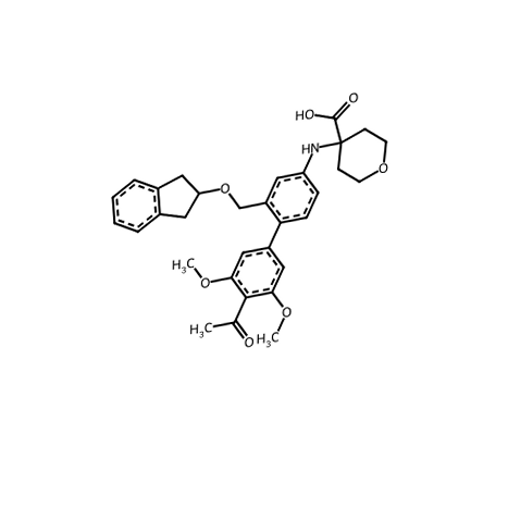 COc1cc(-c2ccc(NC3(C(=O)O)CCOCC3)cc2COC2Cc3ccccc3C2)cc(OC)c1C(C)=O